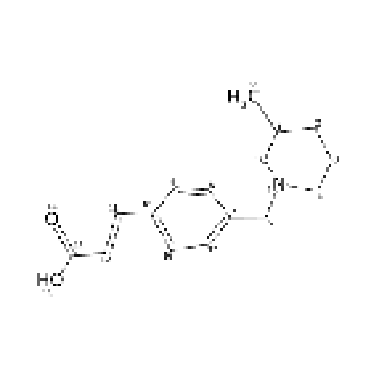 CC1CCCN(Cc2ccc(/C=C/C(=O)O)cc2)C1